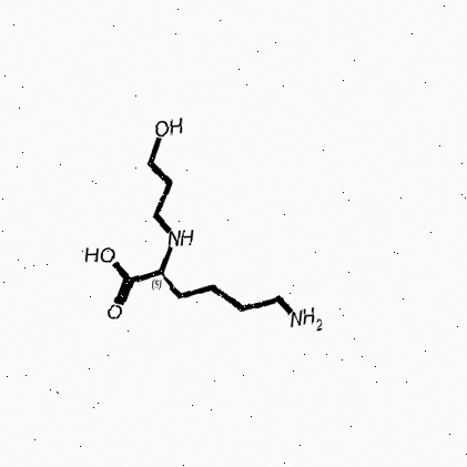 NCCCC[C@H](NCCCO)C(=O)O